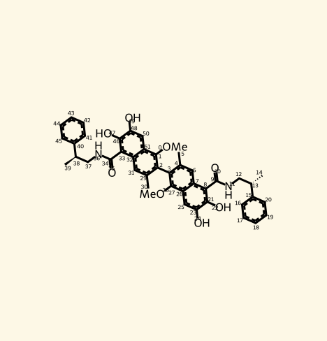 COc1c(-c2c(C)cc3c(C(=O)NC[C@H](C)c4ccccc4)c(O)c(O)cc3c2OC)c(C)cc2c(C(=O)NC[C@@H](C)c3ccccc3)c(O)c(O)cc12